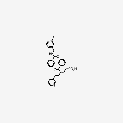 O=C(O)CCN(CCc1cccnc1)C(=O)c1ccccc1-c1ccccc1C(=O)NCc1cccc(F)c1